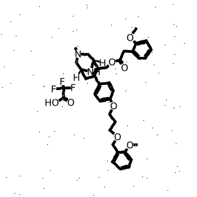 COc1ccccc1COCCCOc1ccc(C2=C(COC(=O)Cc3ccccc3OC)[C@H]3CN(C)C[C@@H](C2)N3)cc1.O=C(O)C(F)(F)F